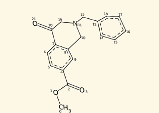 COC(=O)c1ccc2c(c1)CN(Cc1ccccc1)CC2=O